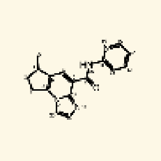 CC1CCc2c1cc(C(=O)Nc1ccccn1)c1nccn21